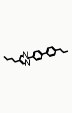 CCCCc1cnc(-c2ccc(-c3ccc(CCC)cc3)cc2)nc1